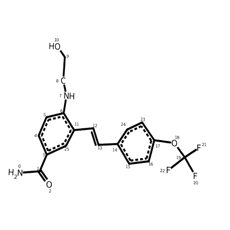 NC(=O)c1ccc(NCCO)c(C=Cc2ccc(OC(F)(F)F)cc2)c1